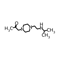 CC(=O)CN1CCN(CCNC(C)C)CC1